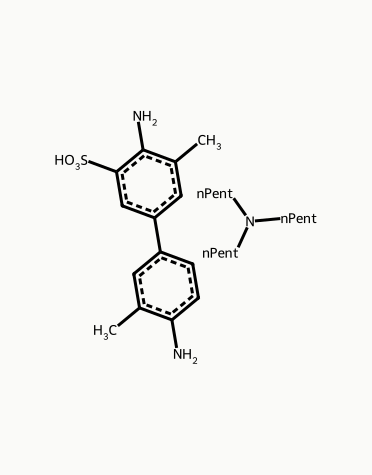 CCCCCN(CCCCC)CCCCC.Cc1cc(-c2cc(C)c(N)c(S(=O)(=O)O)c2)ccc1N